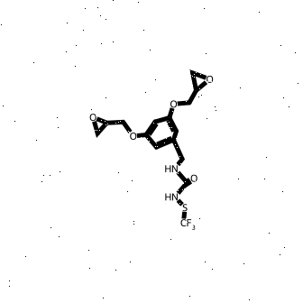 O=C(NCc1cc(OCC2CO2)cc(OCC2CO2)c1)NSC(F)(F)F